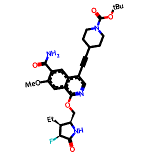 CC[C@@H]1[C@H](F)C(=O)N[C@@H]1COc1ncc(C#CC2CCN(C(=O)OC(C)(C)C)CC2)c2cc(C(N)=O)c(OC)cc12